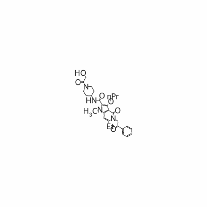 CCCOc1c(C(=O)NC2CCN(C(=O)CO)CC2)n(C)c2cc(CC)n(CC(=O)c3ccccc3)c(=O)c12